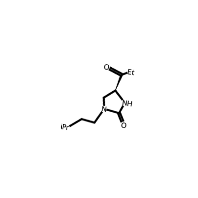 CCC(=O)[C@@H]1CN(CCC(C)C)C(=O)N1